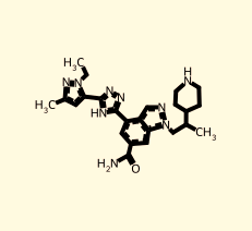 CCn1nc(C)cc1-c1nnc(-c2cc(C(N)=O)cc3c2cnn3CC(C)C2CCNCC2)[nH]1